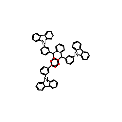 c1cc(-c2ccc3c(c2)C2(c4cccc(-n5c6ccccc6c6ccccc65)c4)c4ccccc4C3(c3cccc(-n4c5ccccc5c5ccccc54)c3)c3ccccc32)cc(-n2c3ccccc3c3ccccc32)c1